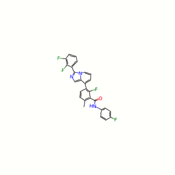 Cc1ccc(-c2cccn3c(-c4cccc(F)c4F)ncc23)c(F)c1C(=O)Nc1ccc(F)cc1